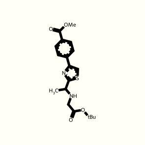 COC(=O)c1ccc(-c2csc(C(C)NCC(=O)OC(C)(C)C)n2)cc1